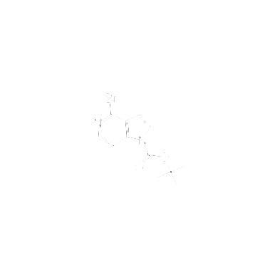 CC(C)(C)OC(=O)n1ccc2c(Br)nccc21